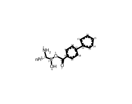 CCC[C@H](N)B(O)OC(=O)c1ccc(-c2ccccc2)cc1